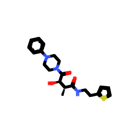 C[C@@H](C(=O)NCCc1cccs1)[C@@H](O)C(=O)N1CCN(c2ccccc2)CC1